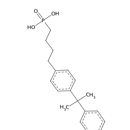 CC(C)(c1ccccc1)c1ccc(CCCCP(=O)(O)O)cc1